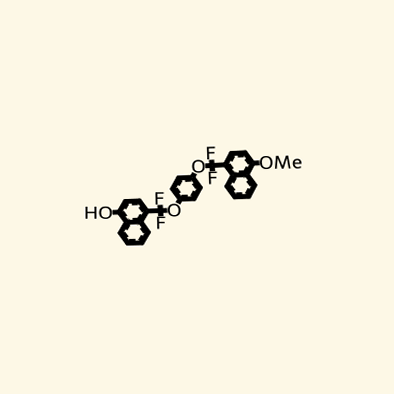 COc1ccc(C(F)(F)Oc2ccc(OC(F)(F)c3ccc(O)c4ccccc34)cc2)c2ccccc12